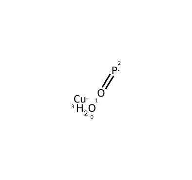 O.O=[P].[Cu]